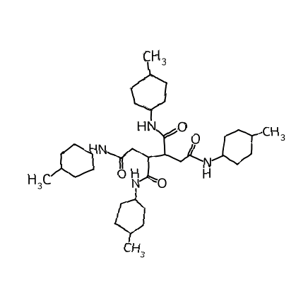 CC1CCC(NC(=O)CC(C(=O)NC2CCC(C)CC2)C(CC(=O)NC2CCC(C)CC2)C(=O)NC2CCC(C)CC2)CC1